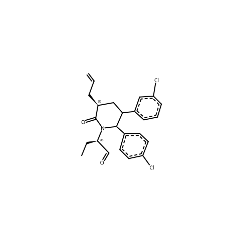 C=CC[C@H]1CC(c2cccc(Cl)c2)C(c2ccc(Cl)cc2)N([C@@H](C=O)CC)C1=O